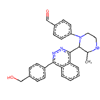 CC1NCCN(c2ccc(C=O)cc2)C1c1nnc(-c2ccc(CO)cc2)c2ccccc12